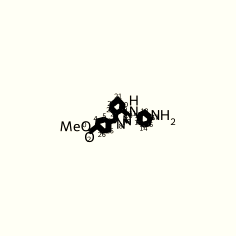 COC(=O)c1ccc(-c2nnc(Nc3cccc(N)c3)c3ccccc23)cc1